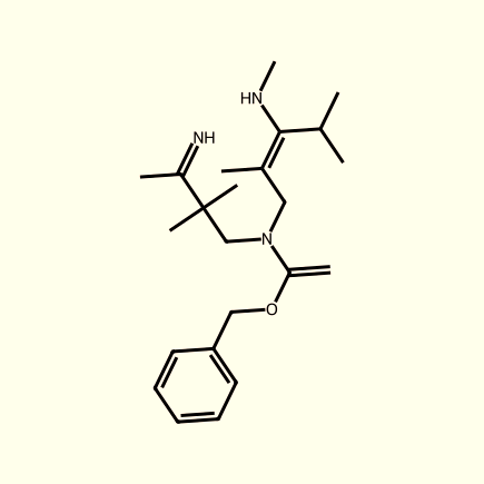 C=C(OCc1ccccc1)N(C/C(C)=C(/NC)C(C)C)CC(C)(C)C(C)=N